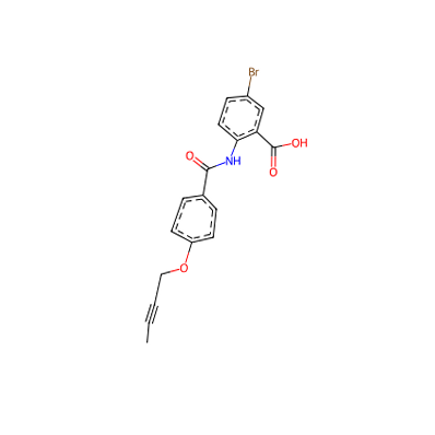 CC#CCOc1ccc(C(=O)Nc2ccc(Br)cc2C(=O)O)cc1